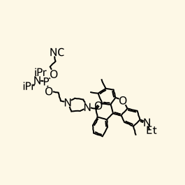 [C-]#[N+]CCOP(OCCN1CCN(C(=O)c2ccccc2-c2c3cc(C)/c(=N\CC)cc-3oc3cc(C)c(C)cc23)CC1)N(C(C)C)C(C)C